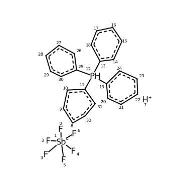 [F][Sb-]([F])([F])([F])([F])[F].[H+].c1ccc([PH](c2ccccc2)(c2ccccc2)c2ccccc2)cc1